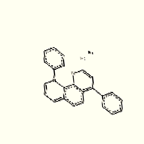 C1=CN(c2ccccc2)c2c3c(ccc2=C1)=C(c1ccccc1)C=CN3.Cl.[Ru]